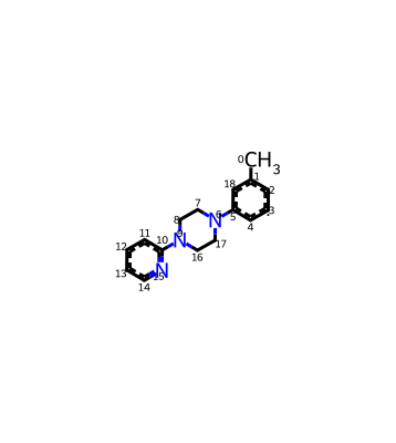 Cc1c[c]cc(N2CCN(c3ccccn3)CC2)c1